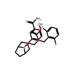 NC(=O)c1cccc(C2CC3CCC(C2)N3CCN(Cc2c(F)cccc2F)C(=O)CO)c1